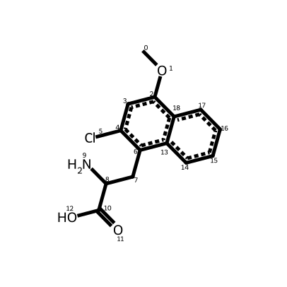 COc1cc(Cl)c(CC(N)C(=O)O)c2ccccc12